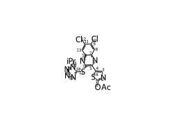 CC(=O)Oc1ncc(-c2nc3cc(Cl)c(Cl)cc3nc2Sc2nnnn2C(C)C)s1